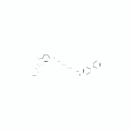 CC(F)(C(=O)OCCCCCOC(=O)c1cc(Br)c(N)c(CNC2CCCCC2)c1)c1ccc(-c2ccccc2)cc1